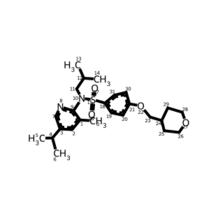 Cc1cc(C(C)C)cnc1N(CC(C)C)S(=O)(=O)c1ccc(OCC2CCOCC2)cc1